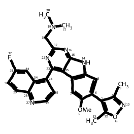 COc1cc2c(cc1-c1c(C)noc1C)[nH]c1nc(CN(C)C)nc(-c3ccnc4ccc(F)cc34)c12